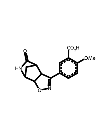 COc1ccc(C2=NOC3C4CC(C(=O)N4)C23)cc1C(=O)O